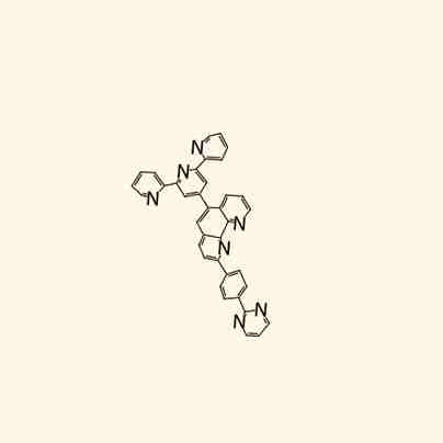 c1ccc(-c2cc(-c3cc4ccc(-c5ccc(-c6ncccn6)cc5)nc4c4ncccc34)cc(-c3ccccn3)n2)nc1